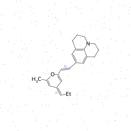 CC/C=C1/C=C(C)OC(/C=C/c2cc3c4c(c2)CCCN4CCC3)=C1